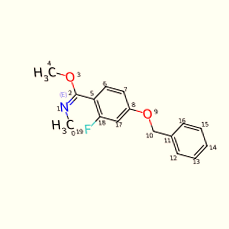 C/N=C(/OC)c1ccc(OCc2ccccc2)cc1F